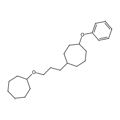 [c]1cccc(OC2CCCC(CCCOC3CC[CH]CCC3)CC2)c1